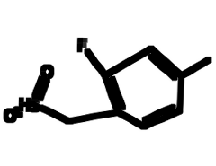 Cc1ccc(C[SH](=O)=O)c(F)c1